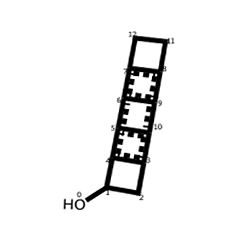 OC1Cc2c1c1c3c4c(c3c21)CC4